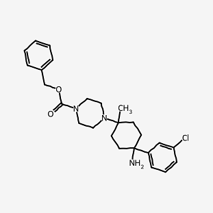 CC1(N2CCN(C(=O)OCc3ccccc3)CC2)CCC(N)(c2cccc(Cl)c2)CC1